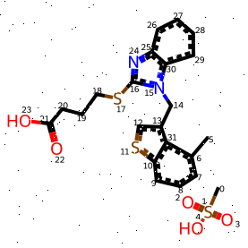 CS(=O)(=O)O.Cc1cccc2scc(Cn3c(SCCCC(=O)O)nc4ccccc43)c12